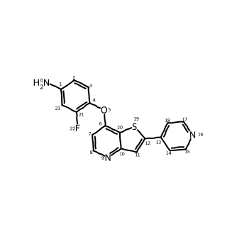 Nc1ccc(Oc2ccnc3cc(-c4ccncc4)sc23)c(F)c1